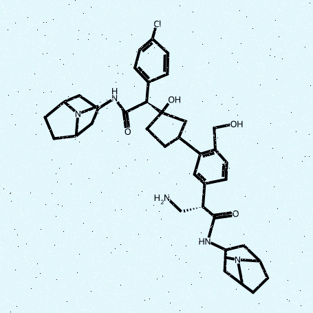 CN1C2CCC1CC(NC(=O)[C@H](CN)c1ccc(CO)c(C3CCC(O)([C@@H](C(=O)NC4CC5CCC(C4)N5C)c4ccc(Cl)cc4)C3)c1)C2